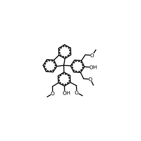 COCc1cc(C2(c3cc(COC)c(O)c(COC)c3)c3ccccc3-c3ccccc32)cc(COC)c1O